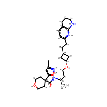 Cc1cc(C2(C(=O)N[C@@H](CCO[C@H]3C[C@H](CCc4ccc5c(n4)NCCC5)C3)C(=O)O)CCOCC2)on1